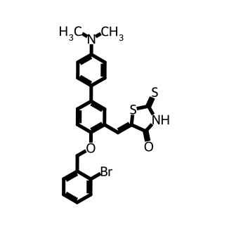 CN(C)c1ccc(-c2ccc(OCc3ccccc3Br)c(/C=C3\SC(=S)NC3=O)c2)cc1